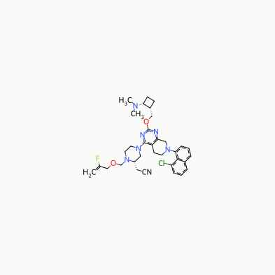 C=C(F)COCN1CCN(c2nc(OC[C@H]3CC[C@H]3N(C)C)nc3c2CCN(c2cccc4cccc(Cl)c24)C3)C[C@@H]1CC#N